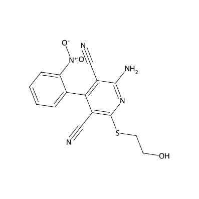 N#Cc1c(N)nc(SCCO)c(C#N)c1-c1ccccc1[N+](=O)[O-]